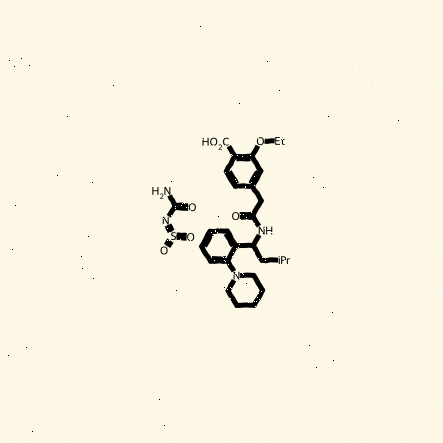 CCOc1cc(CC(=O)NC(CC(C)C)c2ccccc2N2CCCCC2)ccc1C(=O)O.NC(=O)N=S(=O)=O